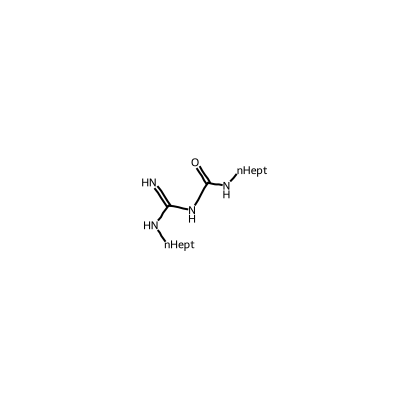 CCCCCCCNC(=N)NC(=O)NCCCCCCC